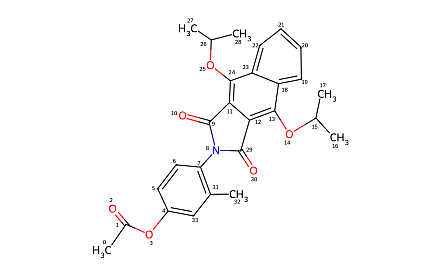 CC(=O)Oc1ccc(N2C(=O)c3c(c(OC(C)C)c4ccccc4c3OC(C)C)C2=O)c(C)c1